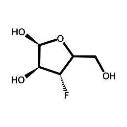 OCC1O[C@H](O)[C@H](O)[C@H]1F